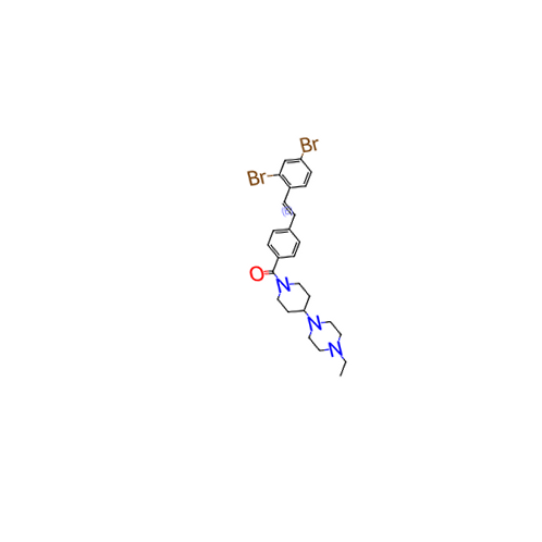 CCN1CCN(C2CCN(C(=O)c3ccc(/C=C/c4ccc(Br)cc4Br)cc3)CC2)CC1